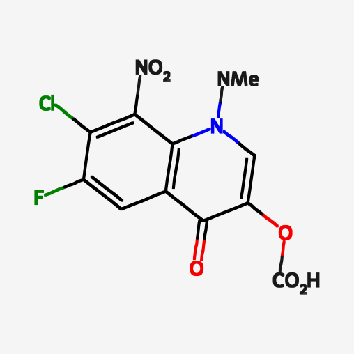 CNn1cc(OC(=O)O)c(=O)c2cc(F)c(Cl)c([N+](=O)[O-])c21